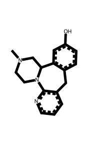 CN1CCN2c3ncccc3Cc3ccc(O)cc3C2C1